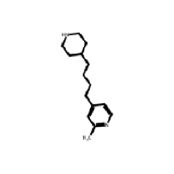 Cc1cc(CCCCC2CCNCC2)ccn1